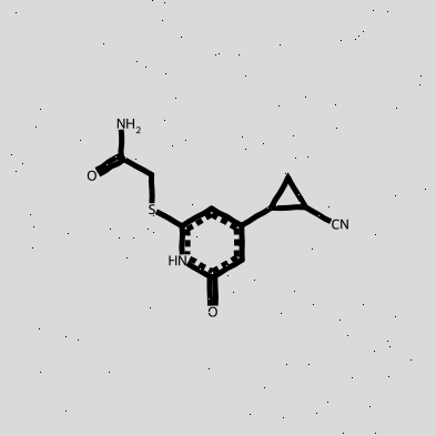 N#CC1CC1c1cc(SCC(N)=O)[nH]c(=O)c1